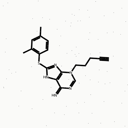 C#CCCCn1cnc(=N)c2[nH]c(Sc3ccc(C)cc3C)nc21